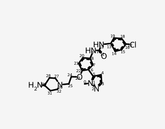 Cn1nccc1-c1cc(NC(=O)Nc2ccc(Cl)cc2)ccc1OCCN1CCC(N)CC1